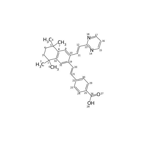 CC1(C)CCC(C)(C)c2cc(C=Cc3ncccn3)c(C=Cc3ccc(C(=O)O)cc3)cc21